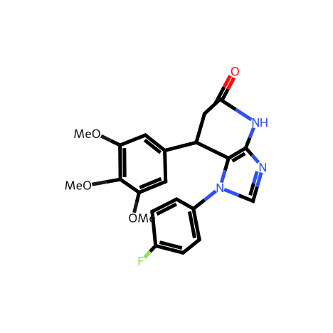 COc1cc(C2CC(=O)Nc3ncn(-c4ccc(F)cc4)c32)cc(OC)c1OC